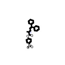 C/C(=C\C=C(c1ccccc1)c1ccccc1)C(=O)Oc1ccc([N+](=O)[O-])cc1